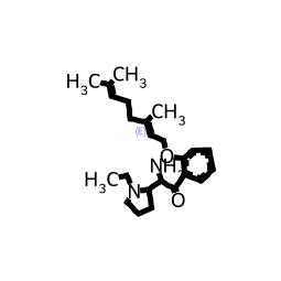 CCN1CCCC1C(N)C(=O)c1ccccc1OC/C=C(\C)CCC=C(C)C